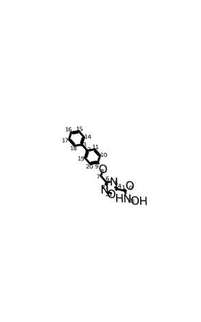 O=C(NO)c1nc(COc2ccc(-c3ccccc3)cc2)no1